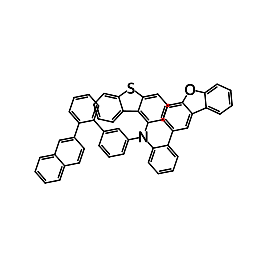 c1cc(-c2ccccc2-c2ccc3ccccc3c2)cc(N(c2ccccc2-c2ccc3oc4ccccc4c3c2)c2cccc3sc4ccccc4c23)c1